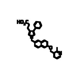 Cc1ncccc1COc1ccc2cc(Cn3cc(CCC(=O)O)c(-c4ccccc4)c3)ccc2c1